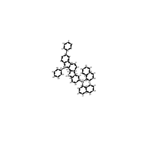 c1ccc(-c2ccc3c(c2)c2ccc4c5cc(N(c6cccc7ccccc67)c6cccc7ccccc67)ccc5sc4c2n3-c2ccccc2)cc1